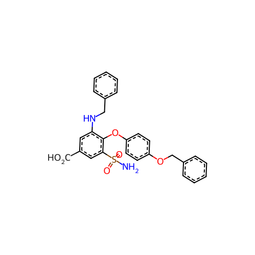 NS(=O)(=O)c1cc(C(=O)O)cc(NCc2ccccc2)c1Oc1ccc(OCc2ccccc2)cc1